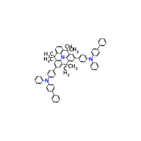 CC1(C)c2cccc3c2N2c4c1cc(-c1ccc(N(c5ccccc5)c5ccc(-c6ccccc6)cc5)cc1)cc4C(C)(C)c1cc(-c4ccc(N(c5ccccc5)c5ccc(-c6ccccc6)cc5)cc4)cc(c12)C3(C)C